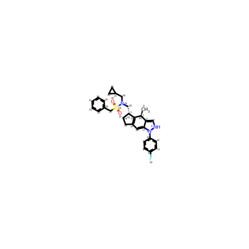 C[C@H]1C2=CNN(c3ccc(F)cc3)C2=CC2=C1[C@@H](CN(CC1CC1)S(=O)(=O)Cc1ccccc1)CC2